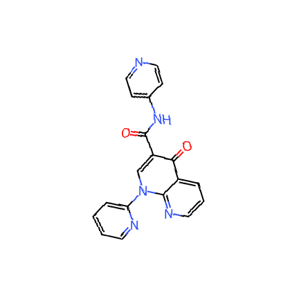 O=C(Nc1ccncc1)c1cn(-c2ccccn2)c2ncccc2c1=O